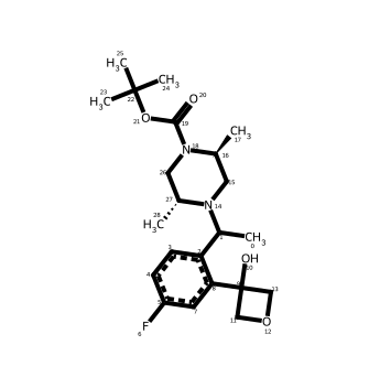 CC(c1ccc(F)cc1C1(O)COC1)N1C[C@H](C)N(C(=O)OC(C)(C)C)C[C@H]1C